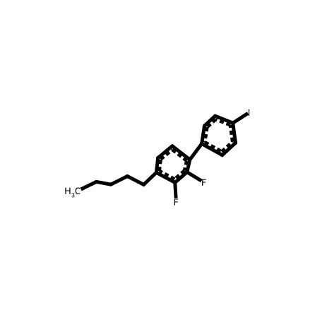 CCCCCc1ccc(-c2ccc(I)cc2)c(F)c1F